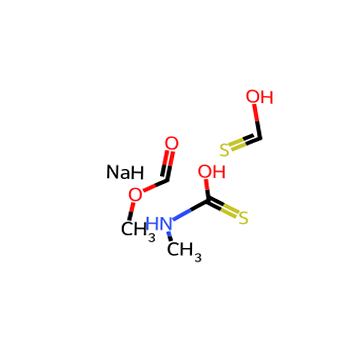 CNC(O)=S.COC=O.OC=S.[NaH]